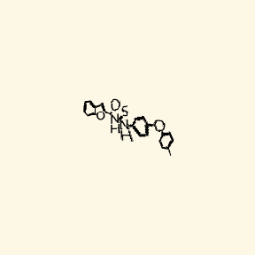 Cc1ccc(Oc2ccc(NC(=S)NC(=O)c3cc4ccccc4o3)cc2)cc1